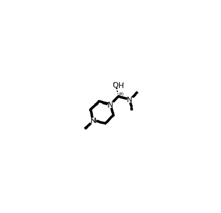 CN1CCN([C@H](O)N(C)C)CC1